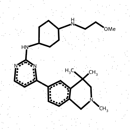 COCCNC1CCC(Nc2nccc(-c3ccc4c(c3)C(C)(C)CN(C)C4)n2)CC1